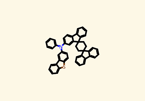 c1ccc(N(c2ccc3c(c2)C2(CCC4(CC2)c2ccccc2-c2ccccc24)c2ccccc2-3)c2ccc3sc4ccccc4c3c2)cc1